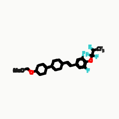 COCOC1CCC(C2CCC(/C=C/c3cc(F)c(OC(F)(F)C(F)C(F)(F)F)c(F)c3)CC2)CC1